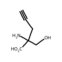 C#CCC(N)(CO)C(=O)O